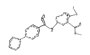 COC(=O)c1cc(NC(=O)c2ccc(-c3ccccc3)cc2)ccc1OC